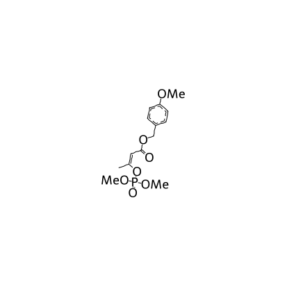 COc1ccc(COC(=O)C=C(C)OP(=O)(OC)OC)cc1